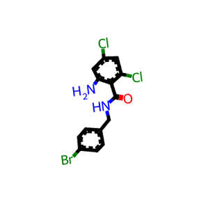 Nc1cc(Cl)cc(Cl)c1C(=O)NCc1ccc(Br)cc1